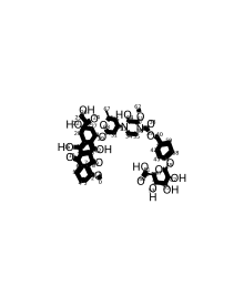 COc1cccc2c1C(=O)c1c(O)c3c(c(O)c1C2=O)C[C@@](O)(C(=O)CO)C[C@@H]3O[C@H]1C[C@H](N2CCN(C(=O)OCc3ccc(O[C@@H]4O[C@H](C(=O)O)[C@@H](O)C(O)[C@H]4O)cc3)[C@H](OC)[C@H]2O)C[C@H](C)O1